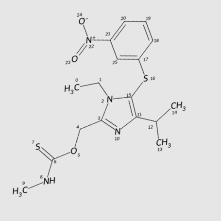 CCn1c(COC(=S)NC)nc(C(C)C)c1Sc1cccc([N+](=O)[O-])c1